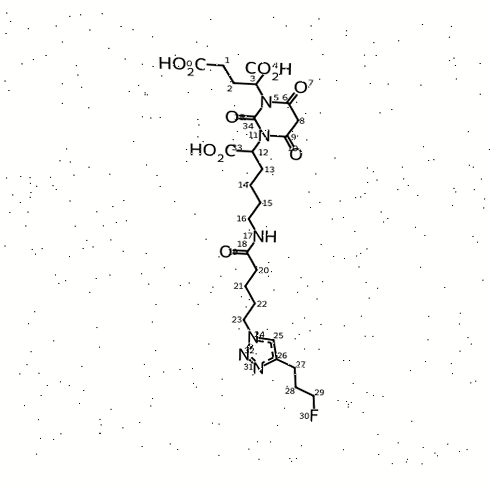 O=C(O)CCC(C(=O)O)N1C(=O)CC(=O)N(C(CCCCNC(=O)CCCCn2cc(CCCF)nn2)C(=O)O)C1=O